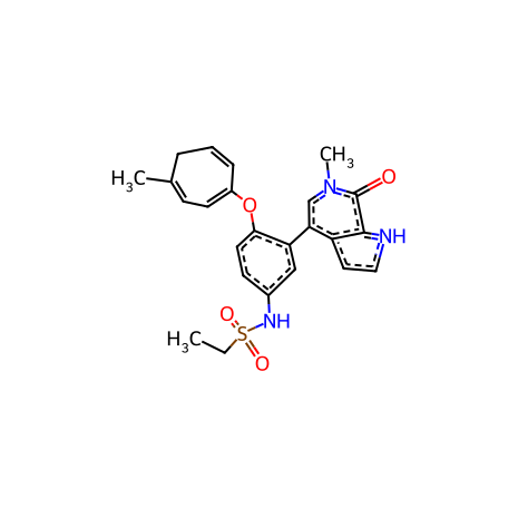 CCS(=O)(=O)Nc1ccc(OC2=CC=C(C)CC=C2)c(-c2cn(C)c(=O)c3[nH]ccc23)c1